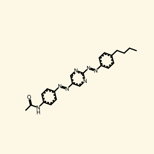 CCCCc1ccc(N=Nc2ncc(N=Nc3ccc(NC(C)=O)cc3)cn2)cc1